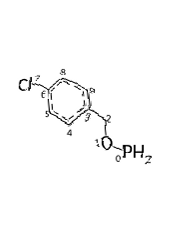 POCc1ccc(Cl)cc1